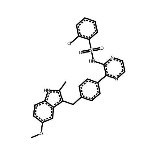 COc1ccc2[nH]c(C)c(Cc3ccc(-c4nccnc4NS(=O)(=O)c4ccccc4Cl)cc3)c2c1